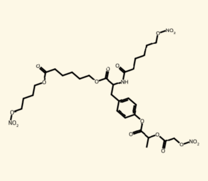 CC(OC(=O)CO[N+](=O)[O-])C(=O)Oc1ccc(CC(NC(=O)CCCCCO[N+](=O)[O-])C(=O)OCCCCCC(=O)OCCCCO[N+](=O)[O-])cc1